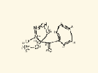 COC(OC)(C(=O)c1ccccc1)[N+](=N)[O-]